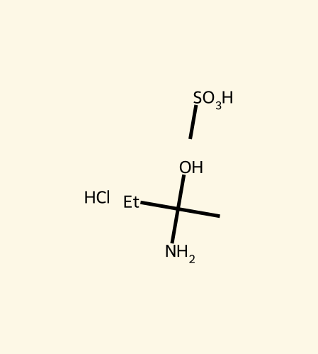 CCC(C)(N)O.CS(=O)(=O)O.Cl